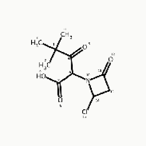 CC(C)(C)C(=O)C(C(=O)O)N1C(=O)CC1Cl